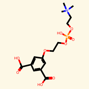 C[N+](C)(C)CCOP(=O)(O)OCCOc1cc(C(=O)O)cc(C(=O)O)c1